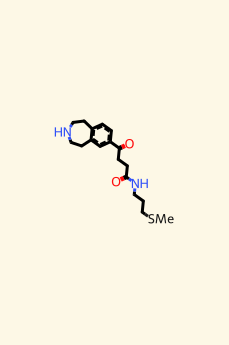 CSCCCNC(=O)CCC(=O)c1ccc2c(c1)CCNCC2